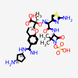 CC1(C)[C@H](NC(=O)/C(=N\O[C@](C)(C(=O)O)[C@H]2CCc3cc(C(=N)N[C@@H]4CC[C@@H](N)C4)ccc3O2)c2csc(N)n2)C(=O)N1OS(=O)(=O)O